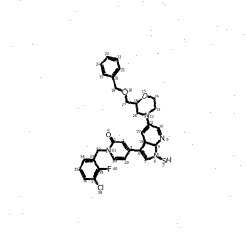 O=c1cc(C2=CN(S)C3N=CC(N4CCOC(COCc5ccccc5)C4)=CC23)ccn1Cc1cccc(Cl)c1F